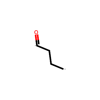 [CH2]CC[C]=O